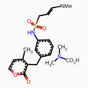 CN(C)C(=O)O.CNC=CCS(=O)(=O)Nc1cccc(Cc2c(C)ccoc2=O)c1